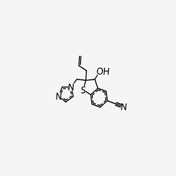 C=CCC1(Cn2ccnc2)Sc2ccc(C#N)cc2C1O